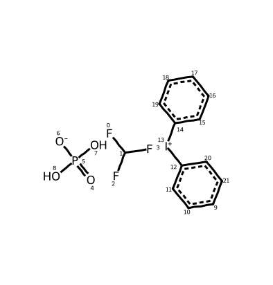 FC(F)F.O=P([O-])(O)O.c1ccc([I+]c2ccccc2)cc1